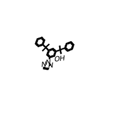 CC(C)(c1ccccc1)c1cc(-n2nccn2)c(O)c(C(C)(C)c2ccccc2)c1